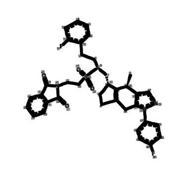 C[C@@H]1C2=C(CC[C@@H]2CN(CCc2ccccc2F)S(=O)(=O)CCN2C(=O)c3ccccc3C2=O)Cc2c1cnn2-c1ccc(F)cc1